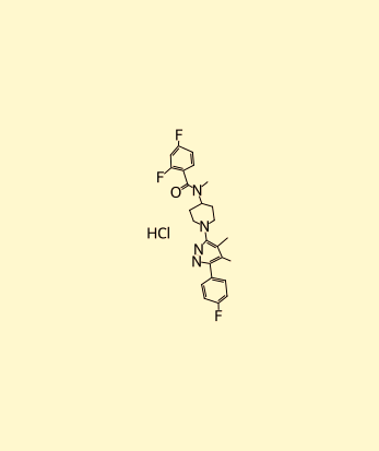 Cc1c(-c2ccc(F)cc2)nnc(N2CCC(N(C)C(=O)c3ccc(F)cc3F)CC2)c1C.Cl